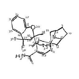 C=C(N)c1ccc(N2C3CCC2CC(NC(=C)C(C)(C)Oc2ccccc2C(F)(F)F)C3)nc1